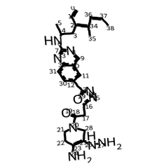 C=C/C(CC(C)Nc1ncc2cc(-c3nnc(CC(=O)N4CCC(N)=C(NN)C4)o3)ccc2n1)=C(C)\C=C/C